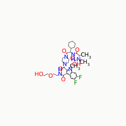 CC(C(=O)NC(C(=O)N1CCN(C(=O)c2c(C(=O)NCCOCCO)c3cc(F)c(F)cc3n2C)CC1)C1CCCCC1)N(C)C(=O)O